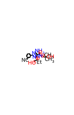 CCC(CO)Oc1nc(-c2cccc(C#N)c2)nc(N)c1C(=O)NOCC(C)(C)O